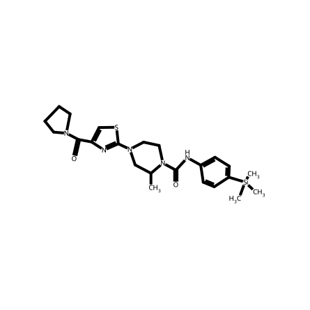 CC1CN(c2nc(C(=O)N3CCCC3)cs2)CCN1C(=O)Nc1ccc([Si](C)(C)C)cc1